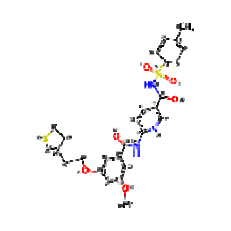 CC1=CCC(S(=O)(=O)NC(=O)c2ccc(NC(=O)c3cc(OCCC4=CSCC4)cc(OC(C)C)c3)nc2)C=C1